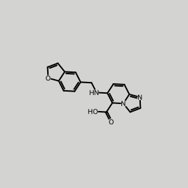 O=C(O)c1c(NCc2ccc3occc3c2)ccc2nccn12